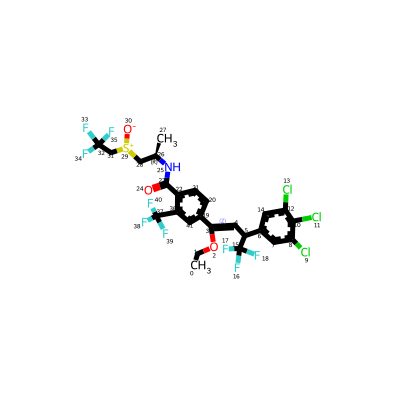 CCO/C(=C\C(c1cc(Cl)c(Cl)c(Cl)c1)C(F)(F)F)c1ccc(C(=O)N[C@H](C)C[S+]([O-])CC(F)(F)F)c(C(F)(F)F)c1